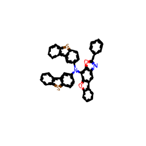 c1ccc(-c2nc3cc4c(oc5ccccc54)c(N(c4ccc5sc6ccccc6c5c4)c4ccc5sc6ccccc6c5c4)c3o2)cc1